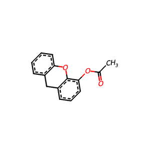 CC(=O)Oc1cccc2c1Oc1ccccc1C2